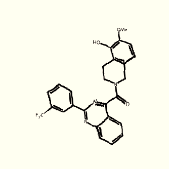 COc1ccc2c(c1O)CCN(C(=O)c1nc(-c3cccc(C(F)(F)F)c3)nc3ccccc13)C2